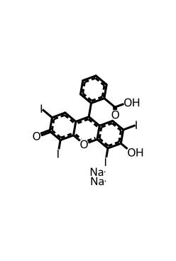 O=C(O)c1ccccc1-c1c2cc(I)c(=O)c(I)c-2oc2c(I)c(O)c(I)cc12.[Na].[Na]